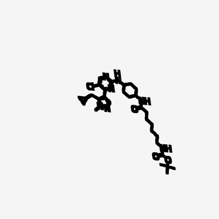 Cn1ncc(-c2nc(NC3CCC(NC(=O)CCCCCCNC(=O)OC(C)(C)C)CC3)ncc2Cl)c1CC1CC1